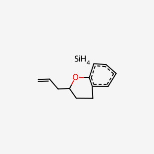 C=CCC1CCc2ccccc2O1.[SiH4]